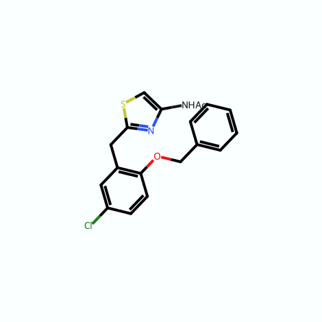 CC(=O)Nc1csc(Cc2cc(Cl)ccc2OCc2ccccc2)n1